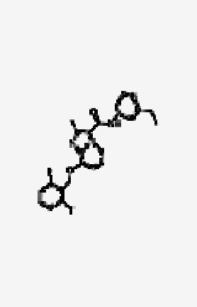 CCc1cc(NC(=O)c2c(C)nc3c(OCc4c(F)cccc4F)cccn23)ccn1